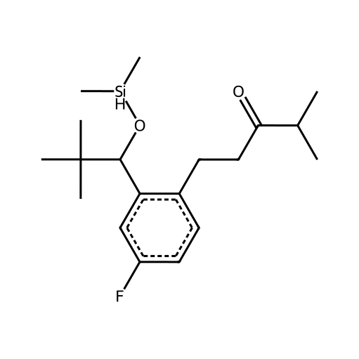 CC(C)C(=O)CCc1ccc(F)cc1C(O[SiH](C)C)C(C)(C)C